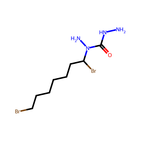 NNC(=O)N(N)C(Br)CCCCCCBr